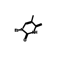 C=C1NC(=O)N(CC)C=C1C